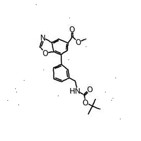 COC(=O)c1cc(-c2cccc(CNC(=O)OC(C)(C)C)c2)c2ocnc2c1